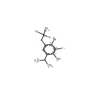 CC(c1cc(CC(F)(F)C(F)(F)F)c(Br)c(F)c1O)C(F)(F)F